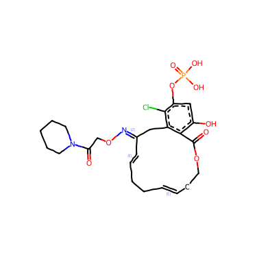 O=C1OCC/C=C/CC/C=C/C(=N\OCC(=O)N2CCCCC2)Cc2c(Cl)c(OP(=O)(O)O)cc(O)c21